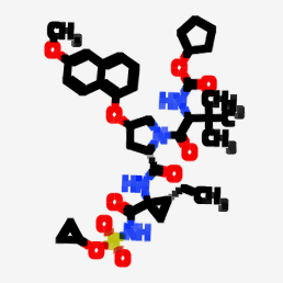 CC[C@@H]1C[C@]1(NC(=O)[C@@H]1C[C@@H](Oc2cccc3cc(OC)ccc23)CN1C(=O)[C@@H](NC(=O)OC1CCCC1)C(C)(C)C)C(=O)NS(=O)(=O)OC1CC1